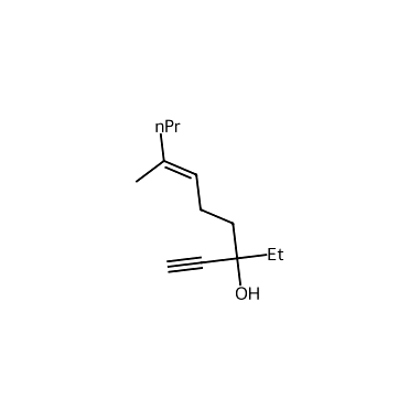 C#CC(O)(CC)CCC=C(C)CCC